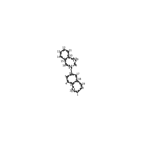 c1cnc2ccc(-[n+]3cnc4ccccc4c3)cc2c1